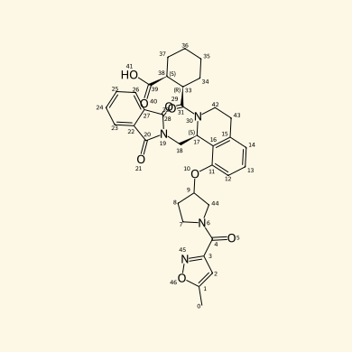 Cc1cc(C(=O)N2CCC(Oc3cccc4c3[C@@H](CN3C(=O)c5ccccc5C3=O)N(C(=O)[C@@H]3CCCC[C@@H]3C(=O)O)CC4)C2)no1